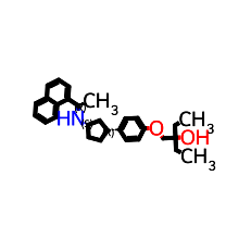 CCC(O)(CC)COc1ccc([C@@H]2CC[C@H](N[C@H](C)c3cccc4ccccc34)C2)cc1